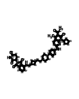 CC(=O)c1c(C)c2cnc(Nc3ccc(N4CCN(CCC5CC(CNc6cccc7c6C(=O)N(C6CCC(=O)NC6=O)C7=O)C5)CC4)cn3)nc2n(C2CCCC2)c1=O